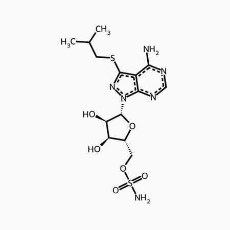 CC(C)CSc1nn([C@@H]2O[C@H](COS(N)(=O)=O)[C@@H](O)[C@H]2O)c2ncnc(N)c12